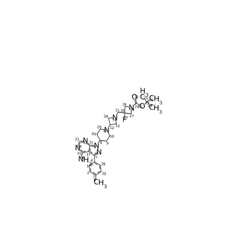 Cc1ccc(-c2nn(C3CCN(C4CN(CC5(F)CN(C(=O)OC(C)(C)C)C5)C4)CC3)c3ncnc(N)c23)cc1